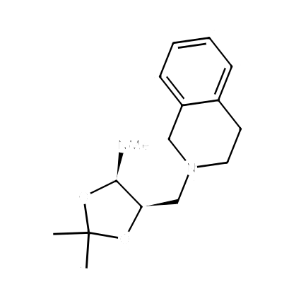 CN[C@@H]1OC(C)(C)O[C@@H]1CN1CCc2ccccc2C1